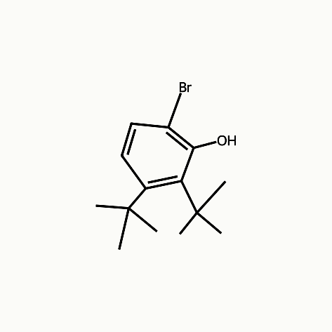 CC(C)(C)c1ccc(Br)c(O)c1C(C)(C)C